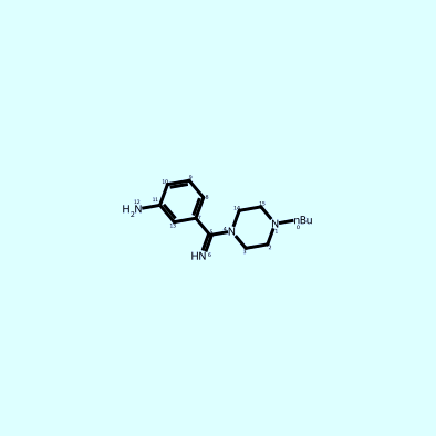 CCCCN1CCN(C(=N)c2cccc(N)c2)CC1